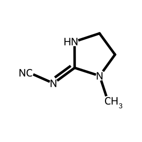 CN1CCN/C1=N\C#N